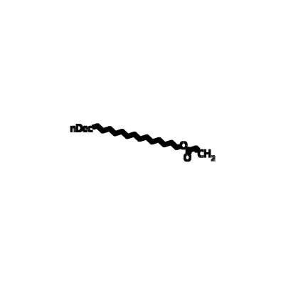 C=CC(=O)OCCCCCCCCCCCCCCCCCCCCCCCC